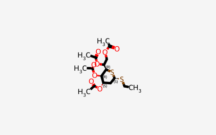 CCS[C@@H]1C[C@H](OC(C)=O)[C@@H](OC(C)=O)[C@@H](C(COC(C)=O)OC(C)=O)S1